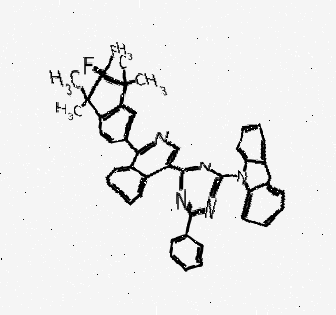 CC1(C)c2ccc(-c3ncc(-c4nc(-c5ccccc5)nc(-n5c6ccccc6c6ccccc65)n4)c4ccccc34)cc2C(C)(C)C1(F)F